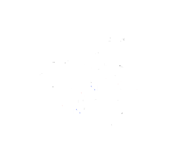 O=C(O)c1cccc(NS(=O)(=O)c2ccccc2)c1NS(=O)(=O)c1ccccc1